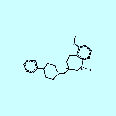 COc1cccc2c1CC[C@H](CN1CCC(c3ccccc3)CC1)C[C@H]2O